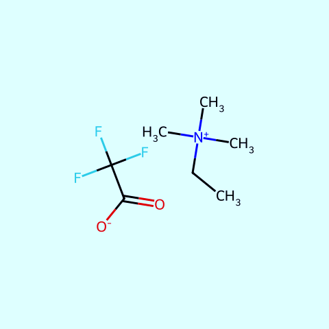 CC[N+](C)(C)C.O=C([O-])C(F)(F)F